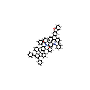 c1ccc(-c2cc(-c3ccccc3)cc([Si](c3ccccc3)(c3ccccc3)c3cc(-c4ccccc4)c(-n4c5ccccc5c5cc(-n6c7ccccc7c7cccc(-c8ccccc8-c8ccc9c(c8)oc8ccccc89)c76)ccc54)c(-c4ccccc4)c3)c2)cc1